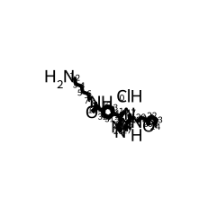 Cl.NCCCCCCNC(=O)c1ccc(-c2cnc(NCc3ccco3)n3cnnc23)cc1